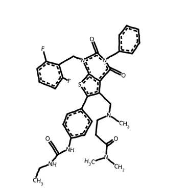 CCNC(=O)Nc1ccc(-c2sc3c(c2CN(C)CCC(=O)N(C)C)c(=O)n(-c2ccccc2)c(=O)n3Cc2c(F)cccc2F)cc1